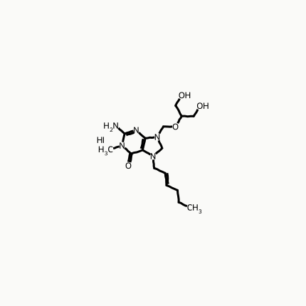 CCCC=CCN1CN(COC(CO)CO)c2nc(N)n(C)c(=O)c21.I